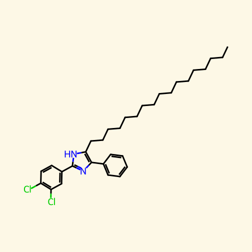 CCCCCCCCCCCCCCCCCc1[nH]c(-c2ccc(Cl)c(Cl)c2)nc1-c1ccccc1